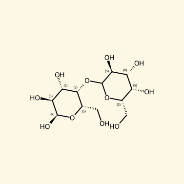 OC[C@@H]1OC(O[C@H]2[C@@H](O)[C@H](O)[C@H](O)O[C@H]2CO)[C@@H](O)[C@H](O)[C@@H]1O